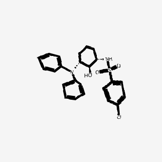 O=S(=O)(N[C@H]1CCC[C@@H](N(c2ccccc2)c2ccccc2)[C@@H]1O)c1ccc(Cl)cc1